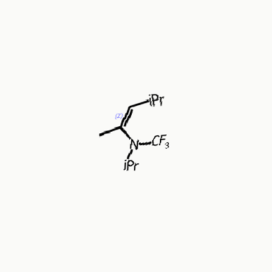 C/C(=C/C(C)C)N(C(C)C)C(F)(F)F